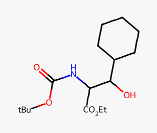 CCOC(=O)C(NC(=O)OC(C)(C)C)C(O)C1CCCCC1